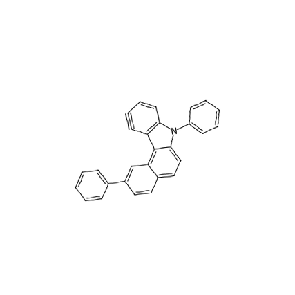 c1ccc2c(c#1)c1c3cc(-c4ccccc4)ccc3ccc1n2-c1ccccc1